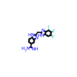 N=C(N)c1ccc2[nH]c(Cc3nc4c(F)c(F)c(F)cc4[nH]3)nc2c1